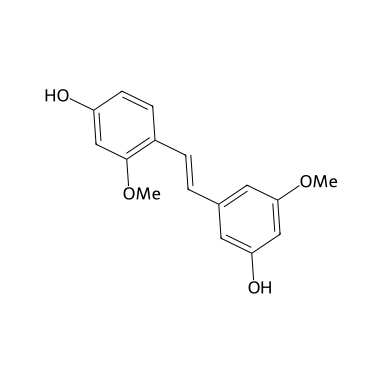 COc1cc(O)cc(C=Cc2ccc(O)cc2OC)c1